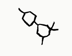 CC1CCC(C2CC(C)CC(C)(C)C2)CC1